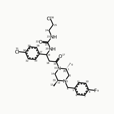 C[C@@H]1CN(Cc2ccc(F)cc2)[C@@H](C)CN1C(=O)CC(NC(=O)NCCCl)c1ccc(Cl)cc1